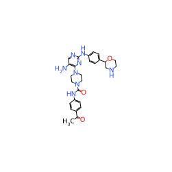 CC(=O)c1ccc(NC(=O)N2CCN(c3nc(Nc4ccc(C5CNCCO5)cc4)ncc3N)CC2)cc1